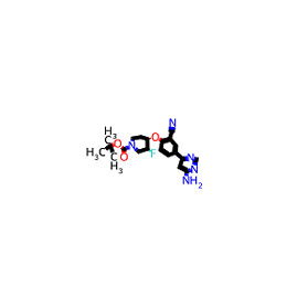 CC(C)(C)OC(=O)N1CC[C@H](Oc2ccc(-c3cc(N)ncn3)cc2C#N)[C@@H](F)C1